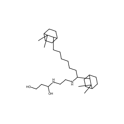 CC1(C)C2CCC(CC2)C1CCCCCCC(NCCNC(O)CCO)C1C2CCC(CC2)C1(C)C